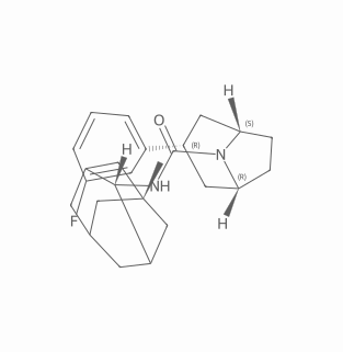 C[C@]12CC3CC(C1)[C@@H](NC(=O)N1[C@@H]4CC[C@H]1C[C@@H](c1cccc(F)c1)C4)C(C3)C2